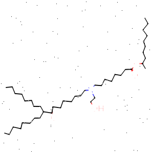 CCCCCCCCC(C)OC(=O)CCCCCCCN(CCO)CCCCCCCC(=O)C(CCCCCCCC)CCCCCCCC